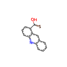 OC(=S)c1cccc2nc3ccccc3cc12